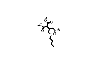 CCCCOCC(C[N+](=O)[O-])C(C(=O)OC)C(=O)OC